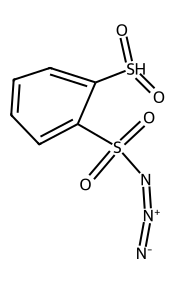 [N-]=[N+]=NS(=O)(=O)c1ccccc1[SH](=O)=O